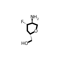 N[C@H]1CO[C@H](CO)C[C@@H]1F